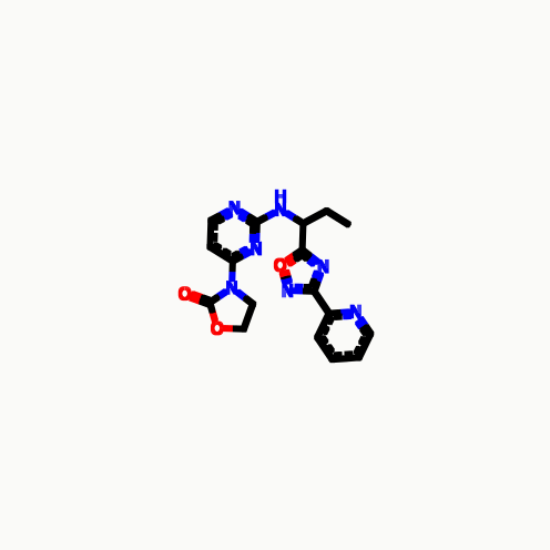 CCC(Nc1nccc(N2CCOC2=O)n1)c1nc(-c2ccccn2)no1